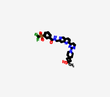 CC1(O)CC2(CCN(c3nccc(-c4ccc5cnc(CNC(=O)c6cccc(S(=O)(=O)C(F)F)c6)cc5n4)n3)CC2)C1